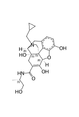 C[C@@H](CO)NC(=O)C1=C(O)[C@@H]2Oc3c(O)ccc4c3[C@@]23CCN(CC2CC2)[C@H](C4)[C@]3(O)C1